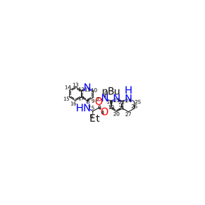 CCCCN(OC(=O)C(CC)Nc1ccnc2ccccc12)c1ccc2c(n1)NCCC2